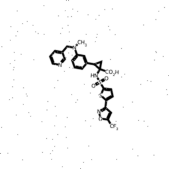 CN(Cc1cccnc1)c1cccc(C2CC2(NS(=O)(=O)c2ccc(-c3cc(C(F)(F)F)on3)s2)C(=O)O)c1